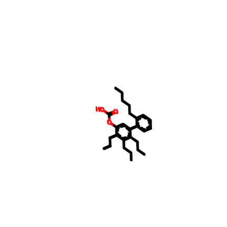 CCCCCc1ccccc1-c1cc(OC(=O)O)c(CCC)c(CCC)c1CCC